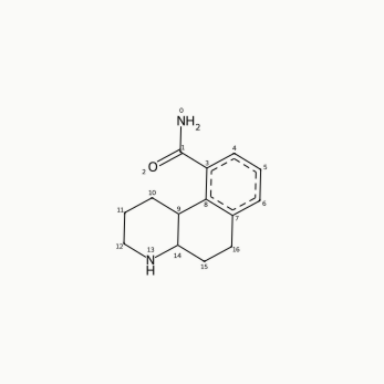 NC(=O)c1cccc2c1C1CCCNC1CC2